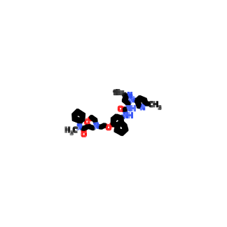 Cc1ccc(-n2nc(C(C)(C)C)cc2NC(=O)Nc2ccc(OCCN3CCOC(C(=O)N(C)c4ccccc4)C3)c3ccccc23)cn1